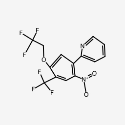 O=[N+]([O-])c1cc(C(F)(F)F)c(OCC(F)(F)F)cc1-c1ccccn1